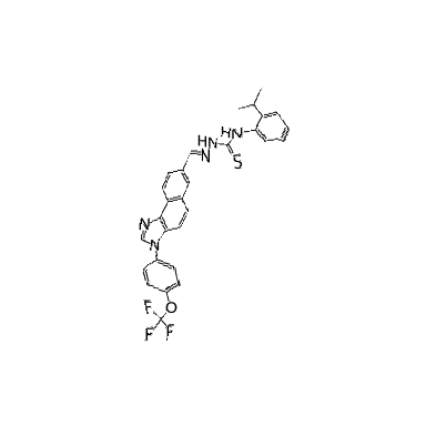 CC(C)c1ccccc1NC(=S)NN=Cc1ccc2c(ccc3c2ncn3-c2ccc(OC(F)(F)F)cc2)c1